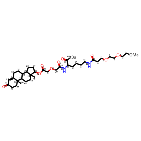 COCCOCCOCCC(=O)NCCCCC(NC(=O)COCC(=O)OC1CCC2C3CCC4=CC(=O)CCC4(C)C3CCC12C)C(=O)C(C)(C)C